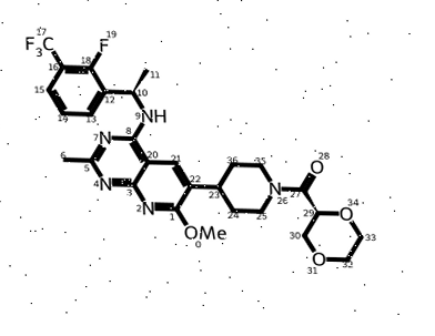 COc1nc2nc(C)nc(N[C@H](C)c3cccc(C(F)(F)F)c3F)c2cc1C1CCN(C(=O)[C@@H]2COCCO2)CC1